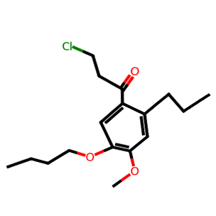 CCCCOc1cc(C(=O)CCCl)c(CCC)cc1OC